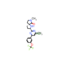 Cc1cc(-c2cccc(OC(F)(F)F)c2)nc([C@H]2CC[C@@]3(CCN(C)C3=O)N2)n1.Cl